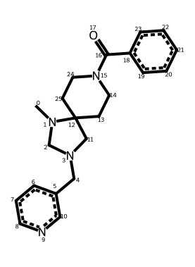 CN1CN(Cc2cccnc2)CC12CCN(C(=O)c1ccccc1)CC2